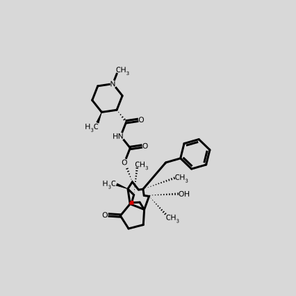 C[C@@H]1CCC23CCC(=O)C2[C@]1(C)[C@H](OC(=O)NC(=O)[C@H]1CN(C)CC[C@@H]1C)C[C@@](C)(Cc1ccccc1)[C@@H](O)[C@@H]3C